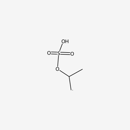 [CH2]C(C)OS(=O)(=O)O